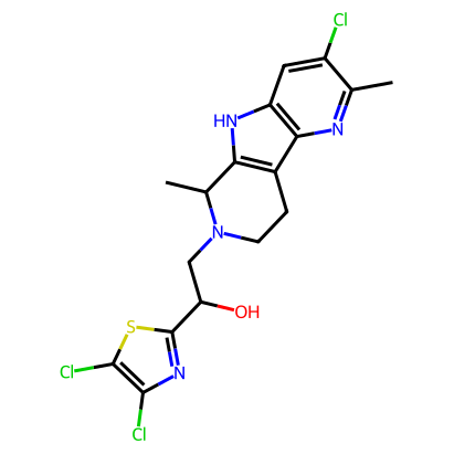 Cc1nc2c3c([nH]c2cc1Cl)C(C)N(CC(O)c1nc(Cl)c(Cl)s1)CC3